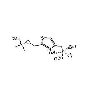 CCCCP(Cl)(CCCC)(CCCC)Cc1csc(CO[Si](C)(C)C(C)(C)C)n1